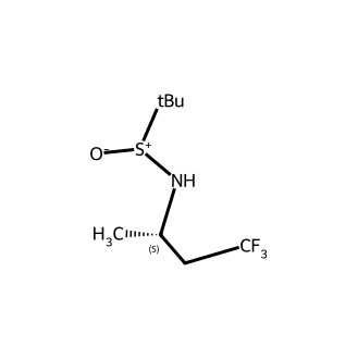 C[C@@H](CC(F)(F)F)N[S+]([O-])C(C)(C)C